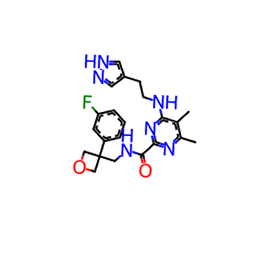 Cc1nc(C(=O)NCC2(c3cccc(F)c3)COC2)nc(NCCc2cn[nH]c2)c1C